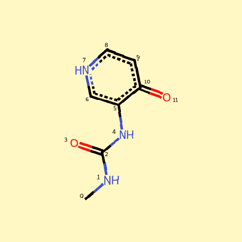 CNC(=O)Nc1c[nH]c[c]c1=O